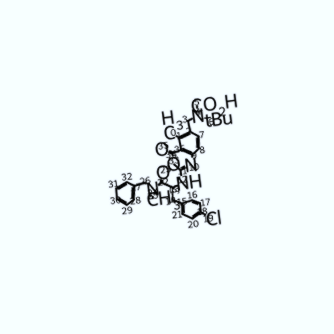 Cc1c(CN(C(=O)O)C(C)(C)C)ccc2nc(N[C@@H](Cc3ccc(Cl)cc3)C(=O)N(C)Cc3ccccc3)oc(=O)c12